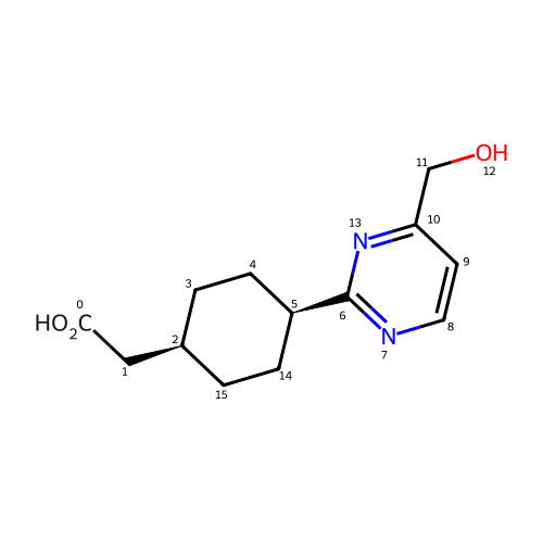 O=C(O)C[C@H]1CC[C@@H](c2nccc(CO)n2)CC1